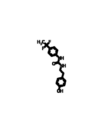 CC(F)(F)c1ccc(NC(=O)NCCc2ccc(O)cc2)cc1